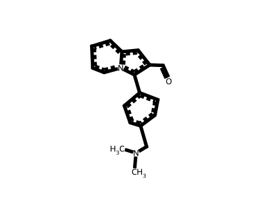 CN(C)Cc1ccc(-c2c(C=O)cc3ccccn23)cc1